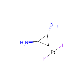 N[C@@H]1C[C@H]1N.[I][Pt][I]